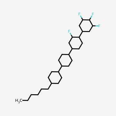 CCCCCCC1CCC(C2CCC(C3CCC(C4CC(F)C(F)C(F)C4)C(F)C3)CC2)CC1